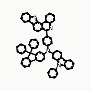 c1ccc(-n2c3ccccc3c3ccc(N(c4ccc(-c5nc6ccccc6c6c5ccc5c7ccccc7sc56)cc4)c4ccc5c(c4)C(c4ccccc4)(c4ccccc4)c4ccccc4-5)cc32)cc1